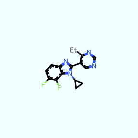 CCc1ncncc1-c1nc2ccc(F)c(F)c2n1C1CC1